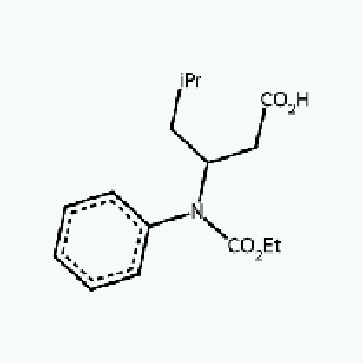 CCOC(=O)N(c1ccccc1)C(CC(=O)O)CC(C)C